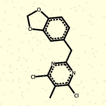 Cc1c(Cl)nc(Cc2ccc3c(c2)OCO3)nc1Cl